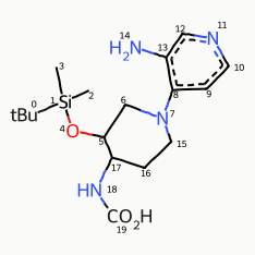 CC(C)(C)[Si](C)(C)OC1CN(c2ccncc2N)CCC1NC(=O)O